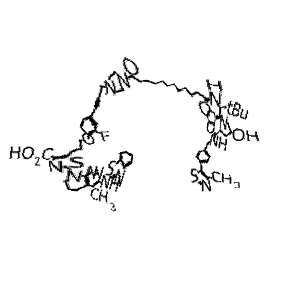 Cc1ncsc1-c1ccc(CNC(=O)[C@@H]2C[C@@H](O)CN2C(=O)[C@@H](NC(=O)CCCCCCCCCCC(=O)N2CCN(CC#Cc3ccc(OCCCc4sc(N5CCCc6c5nnc(Nc5nc7ccccc7s5)c6C)nc4C(=O)O)c(F)c3)CC2)C(C)(C)C)cc1